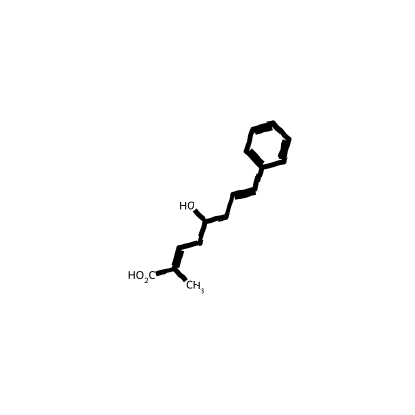 CC(=CCC(O)CC=Cc1ccccc1)C(=O)O